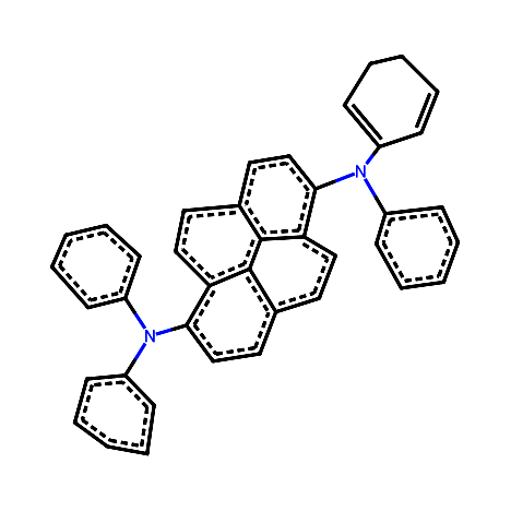 C1=CC(N(c2ccccc2)c2ccc3ccc4c(N(c5ccccc5)c5ccccc5)ccc5ccc2c3c54)=CCC1